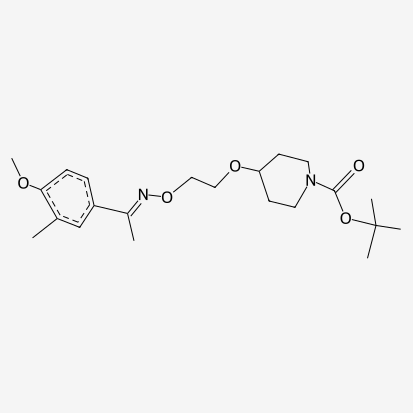 COc1ccc(C(C)=NOCCOC2CCN(C(=O)OC(C)(C)C)CC2)cc1C